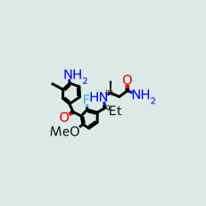 CC[C@@H](N[C@@H](C)CC(N)=O)c1ccc(OC)c(C(=O)c2ccc(N)c(C)c2)c1F